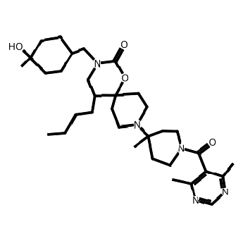 CCCCC1CN(CC2CCC(C)(O)CC2)C(=O)OC12CCN(C1(C)CCN(C(=O)c3c(C)ncnc3C)CC1)CC2